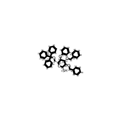 S[C@@H]1O[C@H](COC(c2ccccc2)(c2ccccc2)c2ccccc2)[C@@H](Oc2ccccc2)[C@H](OCc2ccccc2)[C@H]1OCc1ccccc1